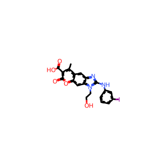 Cc1c(C(=O)O)c(=O)oc2cc3c(cc12)nc(Nc1cccc(I)c1)n3CCO